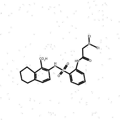 CCN(CC)CC(=O)Nc1ccccc1S(=O)(=O)Nc1ccc2c(c1C(=O)O)CCCC2